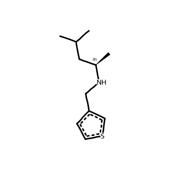 CC(C)C[C@@H](C)NCc1ccsc1